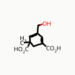 CC1(C(=O)O)C=C(CO)C=C(C(=O)O)C1